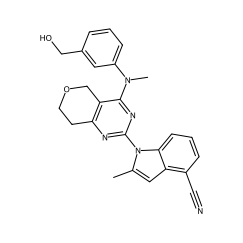 Cc1cc2c(C#N)cccc2n1-c1nc2c(c(N(C)c3cccc(CO)c3)n1)COCC2